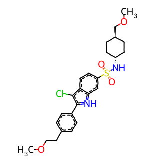 COCCc1ccc(-c2[nH]c3cc(S(=O)(=O)N[C@H]4CC[C@H](COC)CC4)ccc3c2Cl)cc1